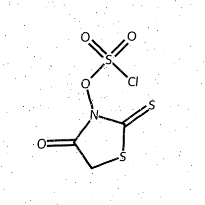 O=C1CSC(=S)N1OS(=O)(=O)Cl